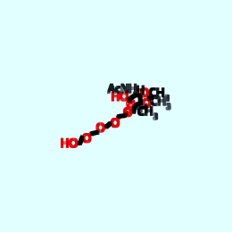 CC(=O)N[C@@H]1[C@H]2OC(C)(C)O[C@H]2[C@@](C)(COCCOCCOCCOCCO)O[C@@H]1O